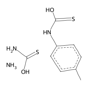 Cc1ccc(NC(O)=S)cc1.N.NC(O)=S